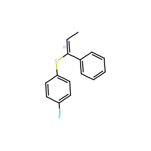 C/C=C(/Sc1ccc(F)cc1)c1ccccc1